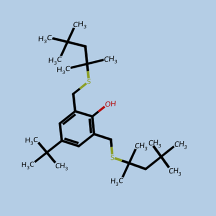 CC(C)(C)CC(C)(C)SCc1cc(C(C)(C)C)cc(CSC(C)(C)CC(C)(C)C)c1O